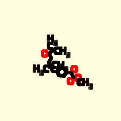 C=C(C)C(=O)CCC(C)(C)Cc1ccc(C(=O)C(=O)OC)cc1